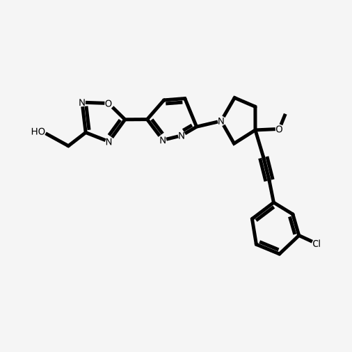 COC1(C#Cc2cccc(Cl)c2)CCN(c2ccc(-c3nc(CO)no3)nn2)C1